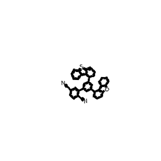 N#Cc1ccc(C#N)c(-c2cc(-c3cccc4oc5ccccc5c34)cc(-c3cccc4sc5ccccc5c34)c2)c1